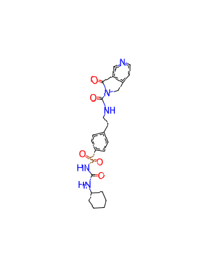 O=C(NC1CCCCC1)NS(=O)(=O)c1ccc(CCNC(=O)N2Cc3ccncc3C2=O)cc1